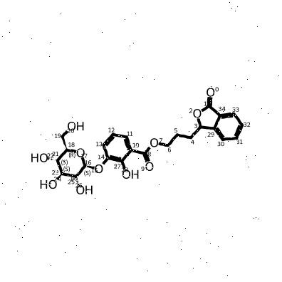 O=C1OC(CCCOC(=O)c2cccc(O[C@@H]3O[C@H](CO)[C@@H](O)[C@H](O)[C@H]3O)c2O)c2ccccc21